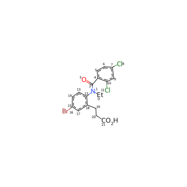 CCN(C(=O)c1ccc(Cl)cc1Cl)c1ccc(Br)cc1CCC(=O)O